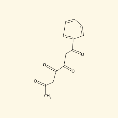 CC(=O)CC(=O)C(=O)CC(=O)c1ccccc1